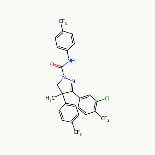 CC1(c2ccc(C(F)(F)F)cc2)CN(C(=O)Nc2ccc(C(F)(F)F)cc2)N=C1c1ccc(C(F)(F)F)c(Cl)c1